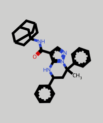 CC1(c2ccccc2)CC(c2ccccc2)Nc2c(C(=O)NC34CC5CC(CC(C5)C3)C4)cnn21